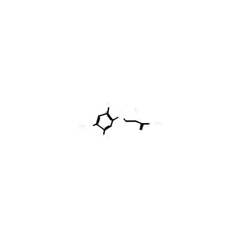 COC(=O)[C@@H](N)COc1cc(OC)c(OC)cc1[N+](=O)[O-]